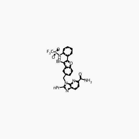 CCCc1nc2ccc(C(N)=O)nc2n1Cc1ccc2oc(-c3ccccc3NS(=O)(=O)C(F)(F)F)c(Br)c2c1